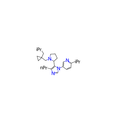 CCCc1ncn(-c2ccc(C(C)C)nc2)c1C1CCCN1CC1(CC(C)C)CC1